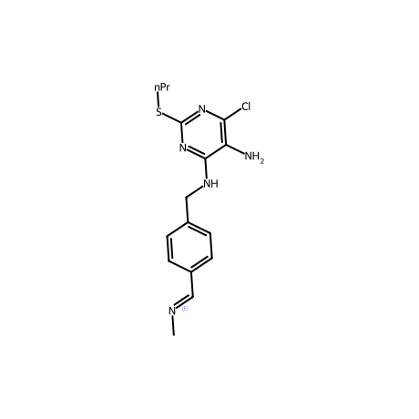 CCCSc1nc(Cl)c(N)c(NCc2ccc(/C=N/C)cc2)n1